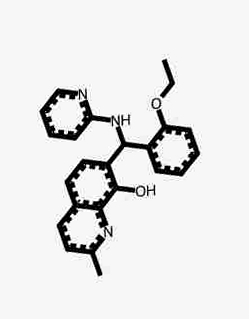 CCOc1ccccc1C(Nc1ccccn1)c1ccc2ccc(C)nc2c1O